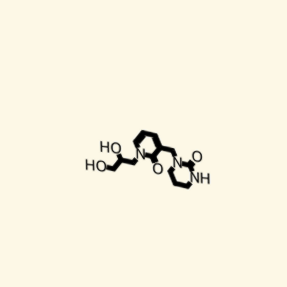 O=C1NCCCN1Cc1cccn(CC(O)CO)c1=O